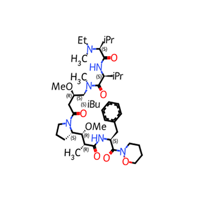 CC[C@H](C)[C@@H]([C@@H](CC(=O)N1CCC[C@H]1[C@H](OC)[C@@H](C)C(=O)N[C@@H](Cc1ccccc1)C(=O)N1CCCCO1)OC)N(C)C(=O)[C@@H](NC(=O)[C@H](C(C)C)N(C)CC)C(C)C